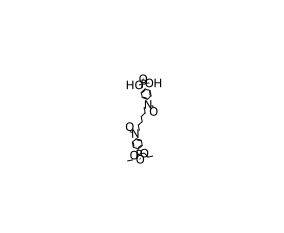 CCOP(=O)(OCC)c1ccc(N(C=O)CCCCCCN(C=O)c2ccc(P(=O)(O)O)cc2)cc1